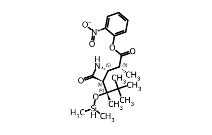 C[C@@H](C(=O)Oc1ccccc1[N+](=O)[O-])[C@H]1NC(=O)[C@@H]1[C@@](C)(O[SiH](C)C)C(C)(C)C